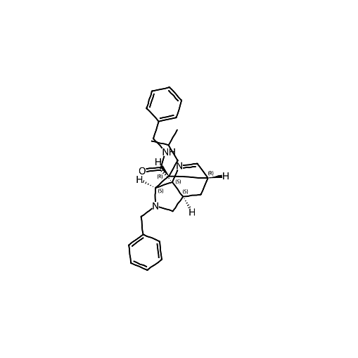 CC(C)C[C@@H]1[C@@H]2C=N[C@@]3(C(=O)NCc4ccccc4)[C@@H](C2)CN(Cc2ccccc2)[C@@H]13